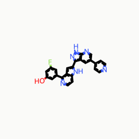 Oc1cc(F)cc(-c2nccc3[nH]c(-c4n[nH]c5ncc(-c6ccncc6)cc45)cc23)c1